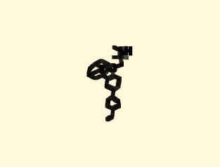 C=Cc1ccc(-c2ccc(OCC(C)(C)[SiH](C)C)c(C34CC5CC(CC(C5)C3)C4)c2)cc1